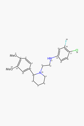 COc1ccc(C2CCCCN2CCNc2ccc(Cl)c(F)c2)cc1OC